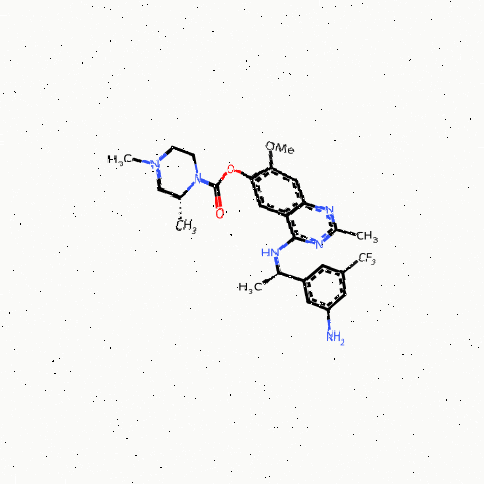 COc1cc2nc(C)nc(N[C@H](C)c3cc(N)cc(C(F)(F)F)c3)c2cc1OC(=O)N1CCN(C)C[C@H]1C